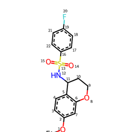 CCOc1ccc2c(c1)OCCC2NS(=O)(=O)c1ccc(F)cc1